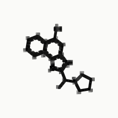 CC(c1nc2c(cc(O)c3ccccc32)[nH]1)N1CCCC1